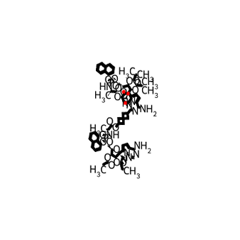 CCC(=O)O[C@H]1[C@@H](OC(=O)CC)[C@](C#N)(c2ccc3c(N)ncnn23)O[C@@H]1COP(=O)(N[C@@H](C)C(=O)OC1CC2(C1)CC(c1nc(N)c3ccc([C@]4(C#N)O[C@H](COP(=O)(N[C@@H](C)C(=O)OC5CCCCC5)Oc5cccc6ccccc56)[C@@H](OC(=O)C(C)C)[C@H]4OC(=O)C(C)C)n3n1)C2)Oc1cccc2ccccc12